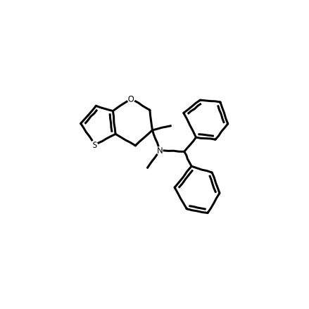 CN(C(c1ccccc1)c1ccccc1)C1(C)COc2ccsc2C1